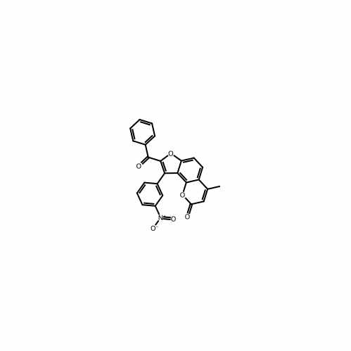 Cc1cc(=O)oc2c1ccc1oc(C(=O)c3ccccc3)c(-c3cccc([N+](=O)[O-])c3)c12